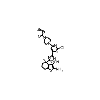 CC(C)(C)OC(=O)N1CCN(c2cc(-c3noc([C@@]4(C)CCCc5sc(N)c(C#N)c54)n3)nc(Cl)n2)CC1